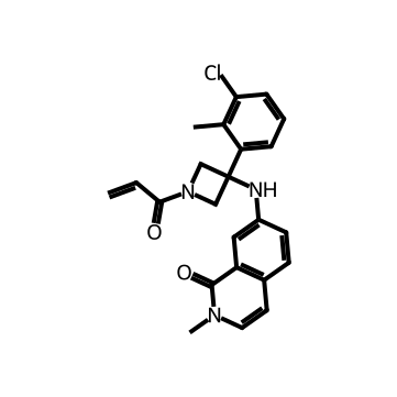 C=CC(=O)N1CC(Nc2ccc3ccn(C)c(=O)c3c2)(c2cccc(Cl)c2C)C1